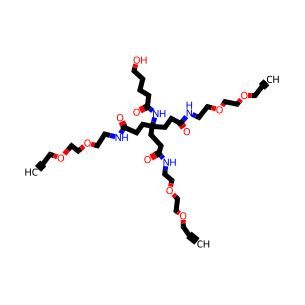 C#CCOCCOCCNC(=O)CCC(CCC(=O)NCCOCCOCC#C)(CCC(=O)NCCOCCOCC#C)NC(=O)CCCCO